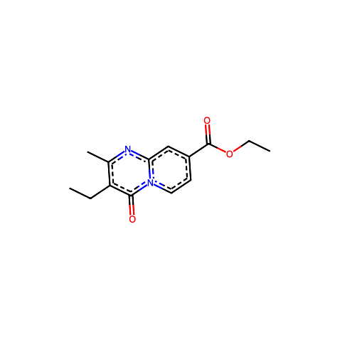 CCOC(=O)c1ccn2c(=O)c(CC)c(C)nc2c1